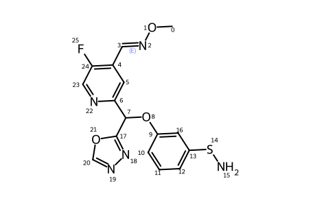 CO/N=C/c1cc(C(Oc2cccc(SN)c2)c2nnco2)ncc1F